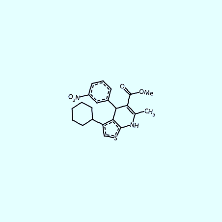 COC(=O)C1=C(C)Nc2scc(C3CCCCC3)c2C1c1cccc([N+](=O)[O-])c1